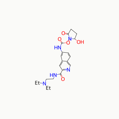 CCN(CC)CCNC(=O)c1cc2cc(NC(=O)ON3C(=O)CCC3O)ccc2cn1